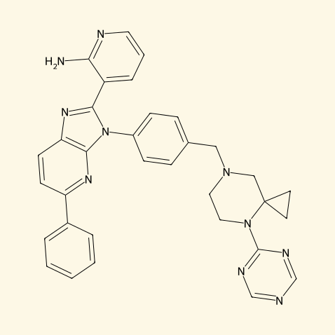 Nc1ncccc1-c1nc2ccc(-c3ccccc3)nc2n1-c1ccc(CN2CCN(c3ncncn3)C3(CC3)C2)cc1